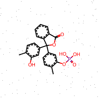 Cc1ccc(C2(c3ccc(C)c(OP(=O)(O)O)c3)OC(=O)c3ccccc32)cc1O